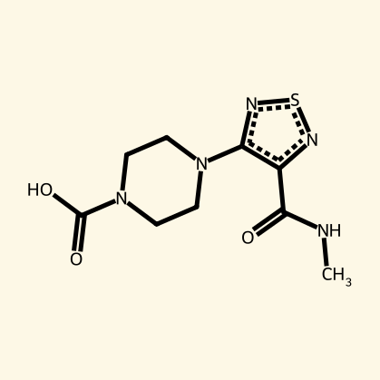 CNC(=O)c1nsnc1N1CCN(C(=O)O)CC1